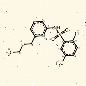 O=S(=O)(Nc1cccc(COCC(F)(F)F)n1)c1cc(C(F)(F)F)ccc1Cl